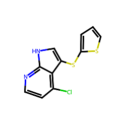 Clc1ccnc2[nH]cc(Sc3cccs3)c12